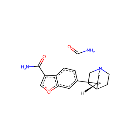 NC(=O)c1coc2cc([C@@H]3CN4CCC3CC4)ccc12.NC=O